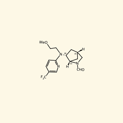 COCCN(c1ccc(C(F)(F)F)cn1)[C@@H]1C[C@H]2C[C@@H]1N(C=O)C2